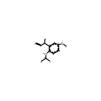 [CH2]C(C=C)c1cc(OC)ccc1OC(C)C